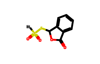 CCS(=O)(=O)SC1OC(=O)c2ccccc21